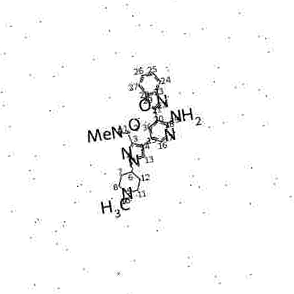 CNC(=O)c1nn(C2CCN(C)CC2)cc1-c1cnc(N)c(-c2nc3ccccc3o2)c1